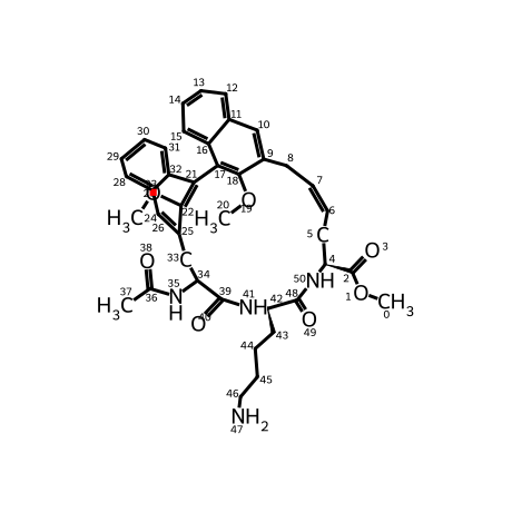 COC(=O)[C@@H]1CC=CCc2cc3ccccc3c(c2OC)-c2c(OC)c(cc3ccccc23)CC(NC(C)=O)C(=O)N[C@H](CCCCN)C(=O)N1